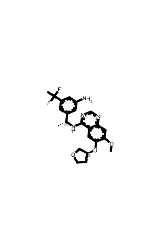 COc1cc2ncnc(N[C@H](C)c3cc(N)cc(C(C)(F)F)c3)c2cc1O[C@H]1CCOC1